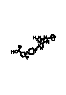 Nc1nc2c(cnn2CCN2CCN(c3cc(C(O)C4CC4)ccc3F)CC2)c2nc(-c3ccco3)nn12